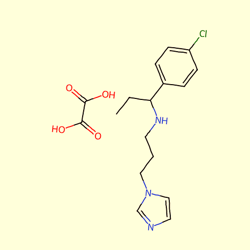 CCC(NCCCn1ccnc1)c1ccc(Cl)cc1.O=C(O)C(=O)O